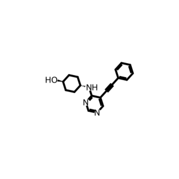 O[C@H]1CC[C@H](Nc2ncncc2C#Cc2ccccc2)CC1